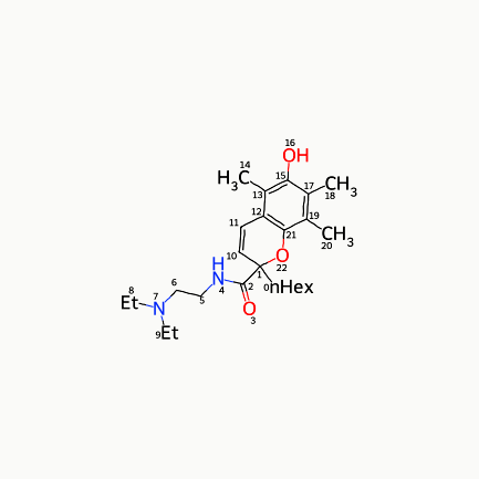 CCCCCCC1(C(=O)NCCN(CC)CC)C=Cc2c(C)c(O)c(C)c(C)c2O1